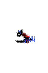 C=C1NC(=O)C(c2ccc(OCc3cc(C)nc4ccccc34)cc2)(N2CCN(CCCCCC)CC2)C(=O)N1